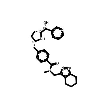 CN(Cc1n[nH]c2c1CCCC2)C(=O)c1ccc(C[C@@H]2CC[C@H]([C@H](O)c3cccnc3)N2)cc1